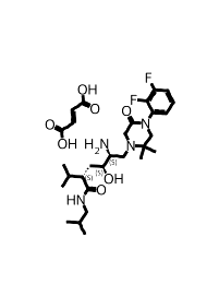 CC(C)CNC(=O)[C@@H](C[C@H](O)[C@@H](N)CN1CC(=O)N(c2cccc(F)c2F)CC1(C)C)C(C)C.O=C(O)C=CC(=O)O